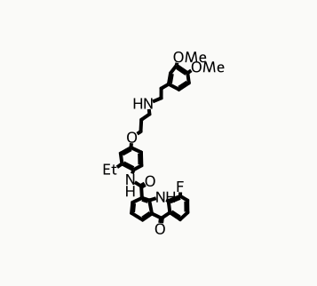 CCc1cc(OCCCNCCc2ccc(OC)c(OC)c2)ccc1NC(=O)c1cccc2c(=O)c3cccc(F)c3[nH]c12